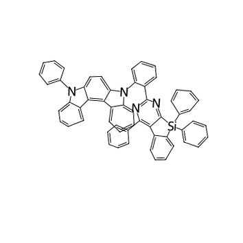 c1ccc(-c2nc(-c3ccccc3-n3c4ccccc4c4c5c6ccccc6n(-c6ccccc6)c5ccc43)nc3c2-c2ccccc2[Si]3(c2ccccc2)c2ccccc2)cc1